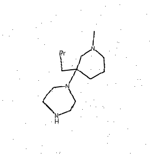 CC(C)CC1(N2CCNCC2)CCCN(C)C1